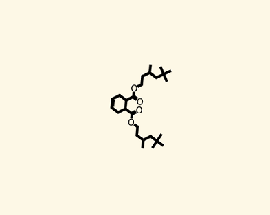 CC(CCOC(=O)C1CC=CCC1C(=O)OCCC(C)CC(C)(C)C)CC(C)(C)C